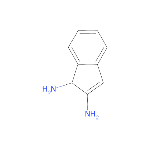 NC1=Cc2ccccc2C1N